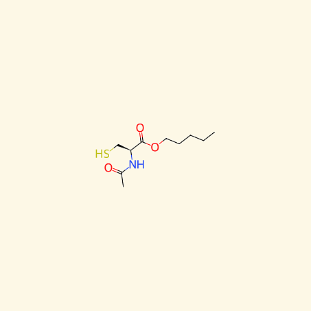 CCCCCOC(=O)[C@H](CS)NC(C)=O